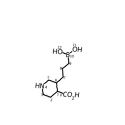 O=C(O)C1CCNCC1CCCB(O)O